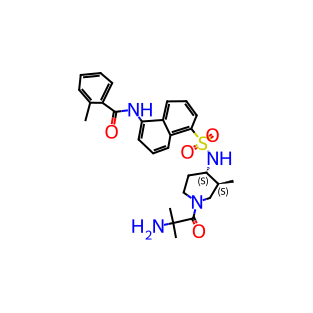 Cc1ccccc1C(=O)Nc1cccc2c(S(=O)(=O)N[C@H]3CCN(C(=O)C(C)(C)N)C[C@@H]3C)cccc12